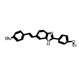 CCOc1ccc(-c2nc3ccc(C=Cc4ccc(C(C)(C)C)cc4)cc3[nH]2)cc1